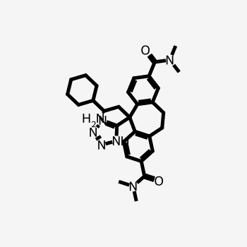 CN(C)C(=O)c1ccc2c(c1)CCc1cc(C(=O)N(C)C)ccc1C2(C[C@H](N)C1CCCCC1)c1nnn[nH]1